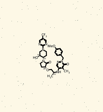 COc1ccc(Cn2ncc(N[C@@H](C)CO[C@@H]3CCN([C@H]4CCN(c5ncc(C(F)(F)F)cn5)C[C@@H]4O)C3=O)c(C)c2=O)cc1